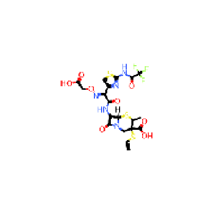 C=CSC1(C(=O)O)CN2C(=O)C(NC(=O)C(=NOCC(=O)O)c3csc(NC(=O)C(F)(F)F)n3)[C@H]2SC1C